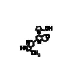 Cc1c[nH]c2ncc(-c3cc(N4CCCC4CO)c4c(n3)CCOC4)cc12